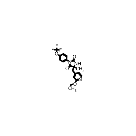 CCOc1cc(CC2(C)NC(=O)N(c3ccc(OC(F)(F)F)cc3)C2=O)ccn1